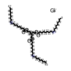 CCCCCCCC/C=C\CCCCCCCC(=O)OCC[N+](C)(CCOC(=O)CCCCCCC/C=C\CCCCCCCC)CCOC(=O)CCCCCCC/C=C\CCCCCCCC.[Cl-]